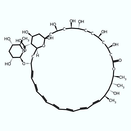 C[C@@H]1[C@H](O)[C@@H](C)/C=C/C=C/C=C/C=C/C=C/C=C/C=C/[C@H](O[C@@H]2O[C@H](C)[C@@H](O)C[C@H]2O)C[C@@H]2OC(O)(C[C@@H](O)C[C@@H](O)[C@H](O)CC[C@@H](O)C[C@@H](O)CC(=O)O[C@H]1C)C[C@H](O)[C@H]2C(=O)O